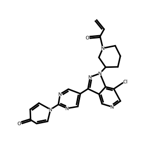 C=CC(=O)N1CCCC(n2nc(-c3cnc(-n4ccc(=O)cc4)nc3)c3cncc(Cl)c32)C1